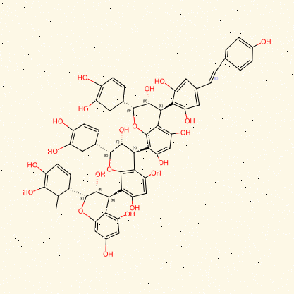 CC1C(O)=C(O)C=CC1[C@H]1Oc2cc(O)cc(O)c2[C@H](c2c(O)cc(O)c3c2O[C@H](C2C=CC(O)=C(O)C2)[C@H](O)[C@H]3c2c(O)cc(O)c3c2O[C@H](C2C=CC(O)=C(O)C2)[C@H](O)[C@H]3c2c(O)cc(/C=C/c3ccc(O)cc3)cc2O)[C@H]1O